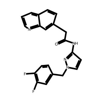 O=C(Cc1ccc2cccnc2c1)Nc1ccn(Cc2ccc(F)c(F)c2)n1